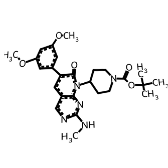 CNc1ncc2cc(-c3cc(OC)cc(OC)c3)c(=O)n(C3CCN(C(=O)OC(C)(C)C)CC3)c2n1